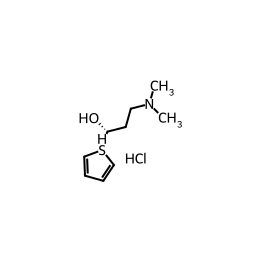 CN(C)CC[C@@H](O)[SH]1C=CC=C1.Cl